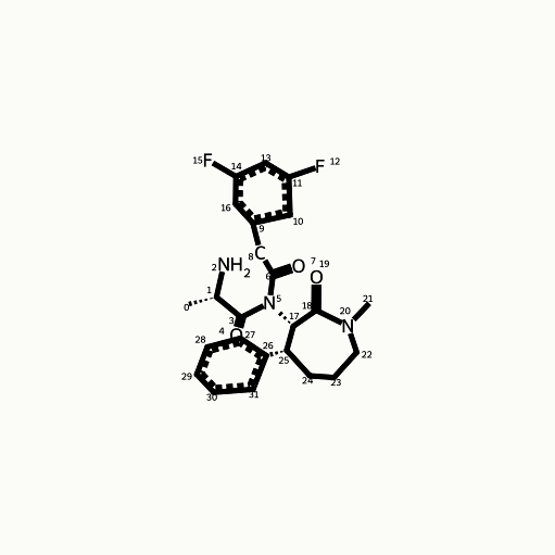 C[C@H](N)C(=O)N(C(=O)Cc1cc(F)cc(F)c1)[C@@H]1C(=O)N(C)CCC[C@@H]1c1ccccc1